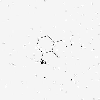 CC[CH]CC1CCCC(C)C1C